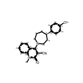 Cn1c(=O)c(C#N)c(N2CCC[C@@H](c3ccc(Cl)cc3)CC2)c2ccccc21